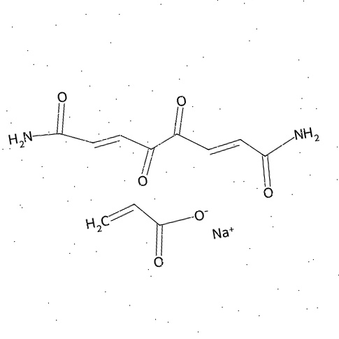 C=CC(=O)[O-].NC(=O)C=CC(=O)C(=O)C=CC(N)=O.[Na+]